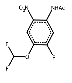 CC(=O)Nc1cc(F)c(OC(F)F)cc1[N+](=O)[O-]